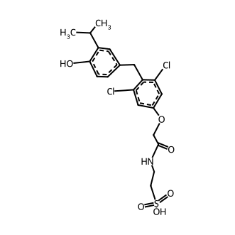 CC(C)c1cc(Cc2c(Cl)cc(OCC(=O)NCCS(=O)(=O)O)cc2Cl)ccc1O